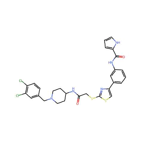 O=C(CSc1nc(-c2cccc(NC(=O)c3ccc[nH]3)c2)cs1)NC1CCN(Cc2ccc(Cl)c(Cl)c2)CC1